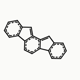 C1=c2c(ccc3c2=Cc2ccccc2-3)-c2ccccc21